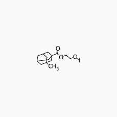 CC12CC3CC(C1)CC(C(=O)OCCOI)(C3)C2